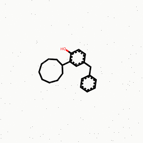 Oc1ccc(Cc2ccccc2)cc1C1CCCCCCCC1